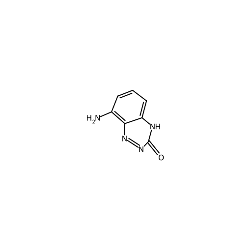 Nc1cccc2[nH]c(=O)nnc12